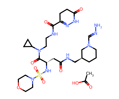 CC(=O)O.NN=CN1CCC[C@@H](CNC(=O)C[C@H](NS(=O)(=O)N2CCOCC2)C(=O)N(CCNC(=O)C2=NNC(=O)CC2)C2CC2)C1